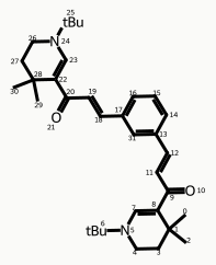 CC1(C)CCN(C(C)(C)C)C=C1C(=O)/C=C/c1cccc(/C=C/C(=O)C2=CN(C(C)(C)C)CCC2(C)C)c1